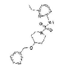 CCc1cccc(NS(=O)(=O)N2CCC(OCc3ccccc3)CC2)n1